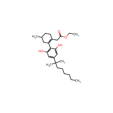 CCCCCCC(C)(C)c1cc(O)c(C2=C(CC(=O)OCC)CCC(C)C2)c(O)c1